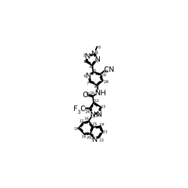 Cn1ncc(-c2ncc(NC(=O)c3cnn(-c4cccc5ncccc45)c3C(F)(F)F)cc2C#N)n1